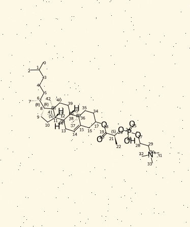 CC(C)CCC[C@@H](C)[C@H]1CC[C@H]2[C@@H]3CC=C4CC(OC(=O)[C@H](C)OP(=O)(O)OCC[N+](C)(C)C)CC[C@]4(C)[C@H]3CC[C@]12C